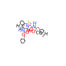 C[C@H](NC(=O)OCc1ccccc1)C(=O)N1C(c2ccccc2)SC[C@H]1C(=O)N[C@@H](Cc1ccccc1)C(O)C(=O)O